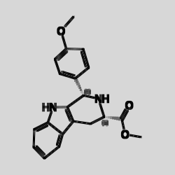 COC(=O)[C@@H]1Cc2c([nH]c3ccccc23)[C@H](c2ccc(OC)cc2)N1